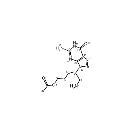 CC(=O)OCCOC(CN)n1cnc2c(=O)[nH]c(N)nc21